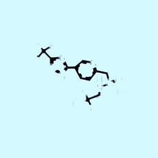 CC(C)(C)CNP(C)(=O)Cc1ccc(-c2noc(C(F)(F)Cl)n2)cn1